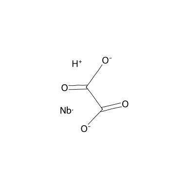 O=C([O-])C(=O)[O-].[H+].[Nb]